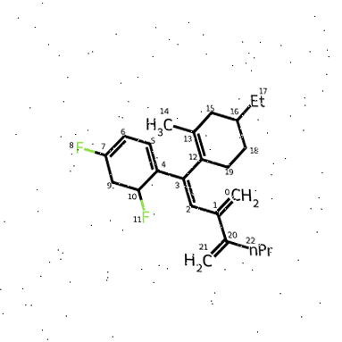 C=C(/C=C(/C1=CC=C(F)CC1F)C1=C(C)CC(CC)CC1)C(=C)CCC